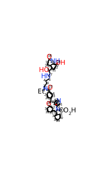 CCN(CCCCNCC(O)c1ccc(O)c2[nH]c(=O)ccc12)C(=O)c1ccc(COc2cccc([C@H](c3ccccc3)N(C(=O)O)C3CN4CCC3CC4)c2)cc1